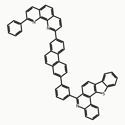 c1ccc(-c2ccc3ccc4ccc(-c5ccc6c(ccc7cc(-c8cccc(-c9nc%10ccccc%10c%10c9ccc9c%11ccccc%11sc9%10)c8)ccc76)c5)nc4c3n2)cc1